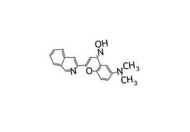 CN(C)c1ccc2oc(-c3cc4ccccc4cn3)cc(=NO)c2c1